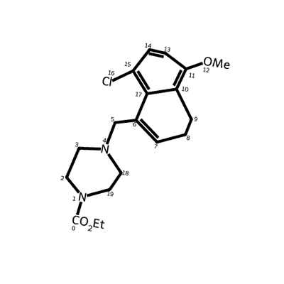 CCOC(=O)N1CCN(CC2=CCCc3c(OC)ccc(Cl)c32)CC1